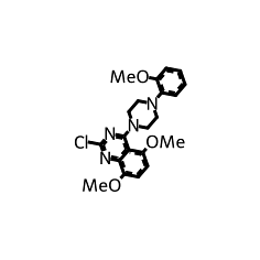 COc1ccccc1N1CCN(c2nc(Cl)nc3c(OC)ccc(OC)c23)CC1